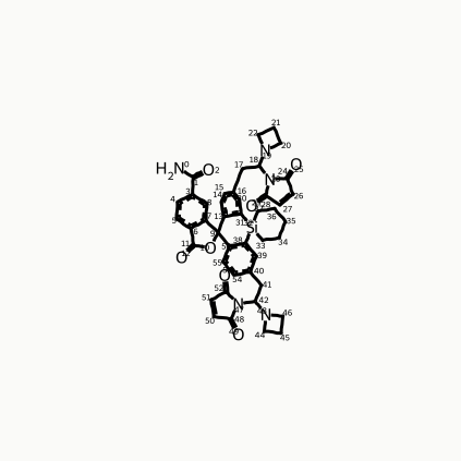 NC(=O)c1ccc2c(c1)C1(OC2=O)c2ccc(CC(N3CCC3)N3C(=O)C=CC3=O)cc2[Si]2(CCCCC2)c2cc(CC(N3CCC3)N3C(=O)C=CC3=O)ccc21